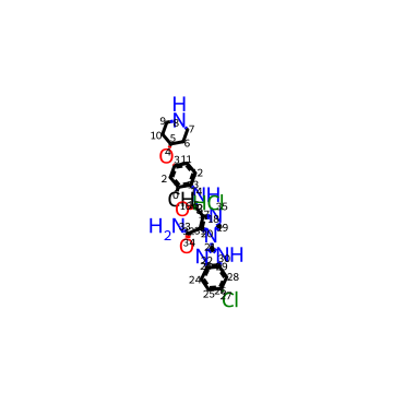 Cc1cc(OC2CCNCC2)ccc1NC(=O)c1ncn(-c2nc3ccc(Cl)cc3[nH]2)c1C(N)=O.Cl